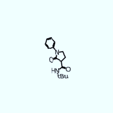 CC(C)(C)NC(=O)C1CCN(c2ccccc2)C1=O